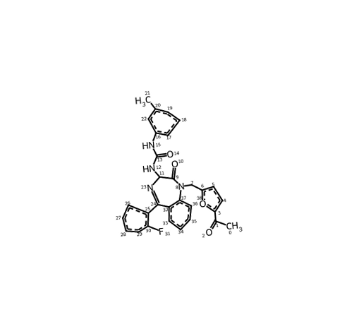 CC(=O)c1ccc(CN2C(=O)C(NC(=O)Nc3cccc(C)c3)N=C(c3ccccc3F)c3ccccc32)o1